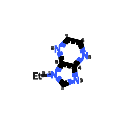 CCn1cnc2nccnc21